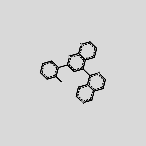 Fc1ccccc1-c1cc(-c2nccc3cnccc23)c2cccnc2n1